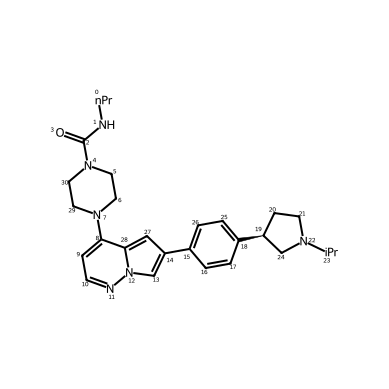 CCCNC(=O)N1CCN(c2ccnn3cc(-c4ccc([C@H]5CCN(C(C)C)C5)cc4)cc23)CC1